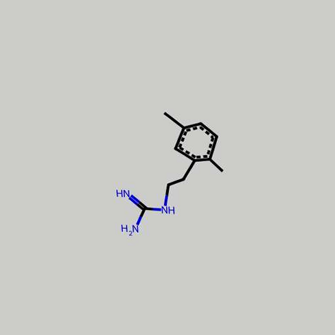 Cc1ccc(C)c(CCNC(=N)N)c1